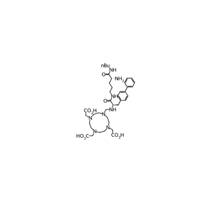 CCCCNC(=O)[C@H](N)CCCNC(=O)[C@@H](Cc1ccc(-c2ccccc2)cc1)NCN1CCN(CC(=O)O)CCN(CC(=O)O)CCN(CC(=O)O)CC1